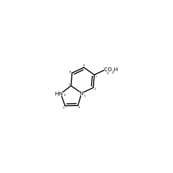 O=C(O)C1=CN2C=CNC2C=C1